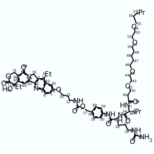 CCc1c2c(nc3ccc(OCCCNC(=O)OCc4ccc(NC(=O)[C@H](CCCNC(N)=O)NC(=O)[C@@H](NC(=O)CCOCCOCCCCCOCCOCCC(C)C)C(C)C)cc4)cc13)-c1cc3c(c(=O)n1C2)COC(=O)[C@]3(O)CC